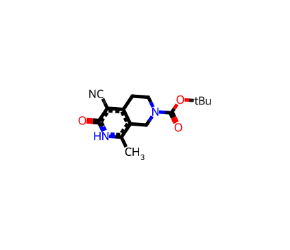 Cc1[nH]c(=O)c(C#N)c2c1CN(C(=O)OC(C)(C)C)CC2